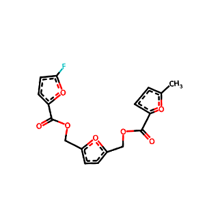 Cc1ccc(C(=O)OCc2ccc(COC(=O)c3ccc(F)o3)o2)o1